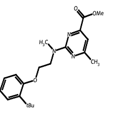 COC(=O)c1cc(C)nc(N(C)CCOc2ccccc2C(C)(C)C)n1